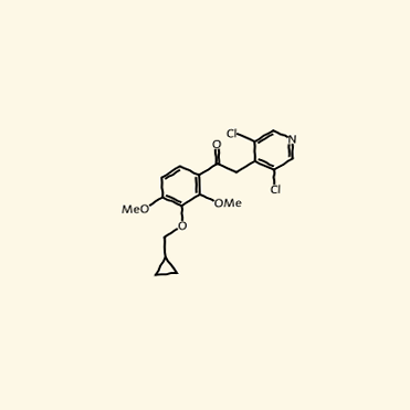 COc1ccc(C(=O)Cc2c(Cl)cncc2Cl)c(OC)c1OCC1CC1